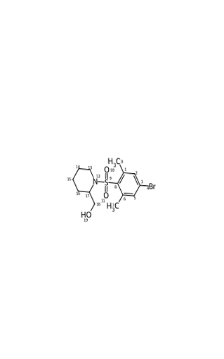 Cc1cc(Br)cc(C)c1S(=O)(=O)N1CCCCC1CO